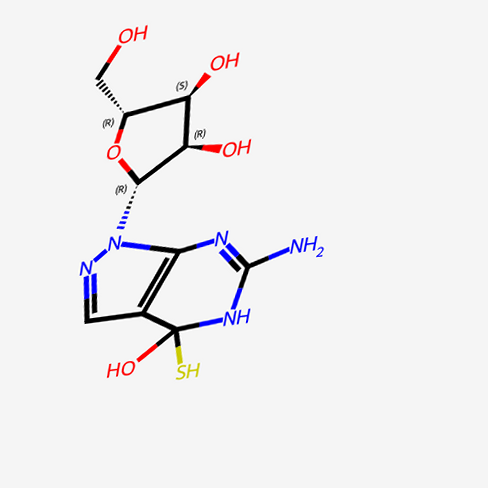 NC1=Nc2c(cnn2[C@@H]2O[C@H](CO)[C@@H](O)[C@H]2O)C(O)(S)N1